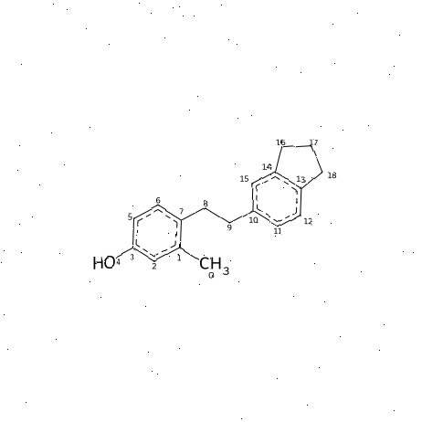 Cc1cc(O)ccc1CCc1ccc2c(c1)CCC2